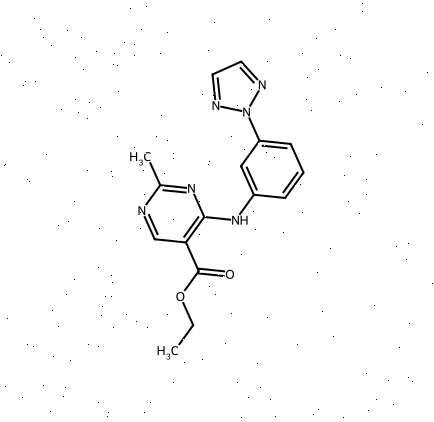 CCOC(=O)c1cnc(C)nc1Nc1cccc(-n2nccn2)c1